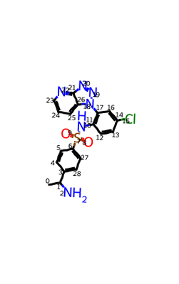 CC(N)c1ccc(S(=O)(=O)Nc2ccc(Cl)cc2-n2nnc3ncccc32)cc1